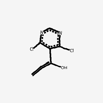 C=C=C(O)c1c(Cl)ncnc1Cl